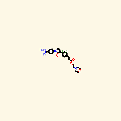 Cl.N=C(N)c1ccc(N2CC=C(c3ccc(CCC(=O)OCCN4CCOCC4)cc3)C2=O)cc1